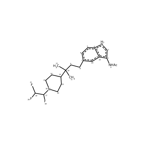 CC(=O)Nc1c[nH]c2ccc(CCC(C)(C)C3CCN(C(F)C(F)F)CC3)cc12